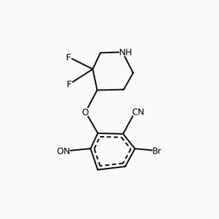 N#Cc1c(Br)ccc(N=O)c1OC1CCNCC1(F)F